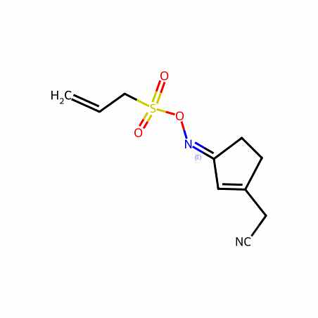 C=CCS(=O)(=O)O/N=C1/C=C(CC#N)CC1